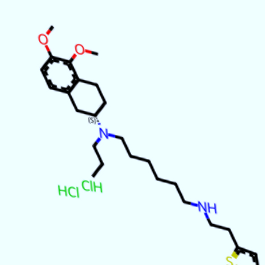 CCCN(CCCCCCNCCc1cccs1)[C@H]1CCc2c(ccc(OC)c2OC)C1.Cl.Cl